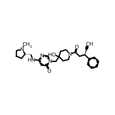 C#C[C@H](CC(=O)N1CCC(O)(Cn2cnc(NC[C@@H]3CCCN3C)cc2=O)CC1)c1ccccc1